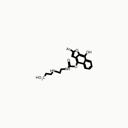 CC(=O)c1cc2c(OC(=O)NCCNCCC(=O)O)c3ccccc3c(O)c2o1